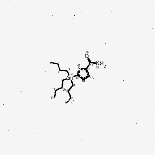 CCC[CH2][Sn]([CH2]CCC)([CH2]CCC)[c]1ccc(C(N)=O)s1